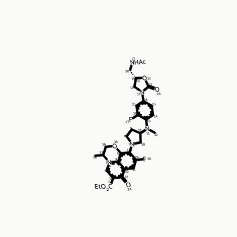 CCOC(=O)c1cn2c3c(c(N4CCC(N(C)c5ccc(N6C[C@H](CNC(C)=O)OC6=O)cc5F)C4)c(F)cc3c1=O)OCC2C